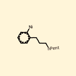 CCCCCCCCc1cccc[c]1[Ni]